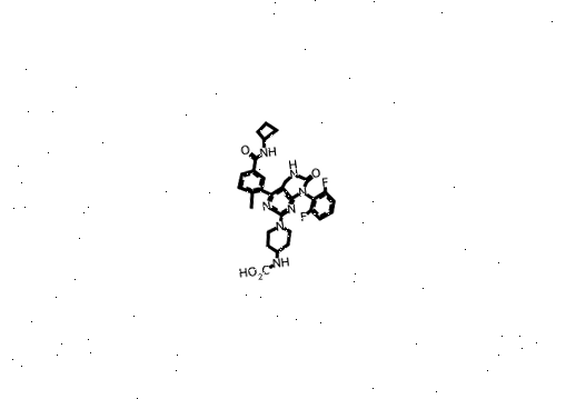 Cc1ccc(C(=O)NC2CCC2)cc1-c1nc(N2CCC(NC(=O)O)CC2)nc2c1CNC(=O)N2c1c(F)cccc1F